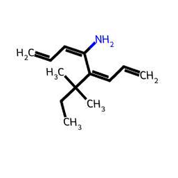 C=C/C=C(\C(N)=C/C=C)C(C)(C)CC